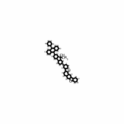 CC1(C)c2cc(-c3ccc4oc5c6cc7c(cc6ccc5c4c3)oc3ccccc37)ccc2-c2ccc(-c3c4ccccc4c(-c4ccccc4)c4ccccc34)cc21